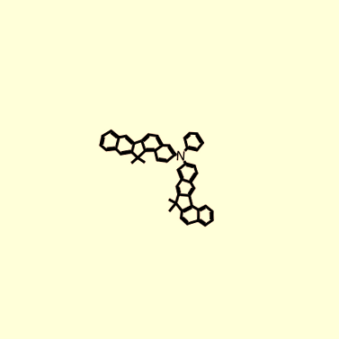 CC1(C)c2cc3cc(N(c4ccccc4)c4ccc5c6c(ccc5c4)-c4cc5ccccc5cc4C6(C)C)ccc3cc2-c2c1ccc1ccccc21